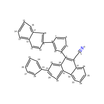 N#Cc1c(-c2cccc(-c3ccc4ccccc4c3)c2)c2cc(-c3ccccc3)ccc2c2ccccc12